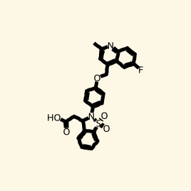 Cc1cc(COc2ccc(N3C(CC(=O)O)c4ccccc4S3(=O)=O)cc2)c2cc(F)ccc2n1